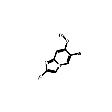 Cc1cn2cc(Br)c(OC(C)C)cc2n1